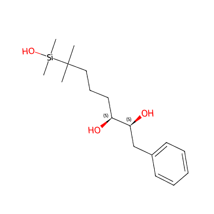 CC(C)(CCC[C@H](O)[C@@H](O)Cc1ccccc1)[Si](C)(C)O